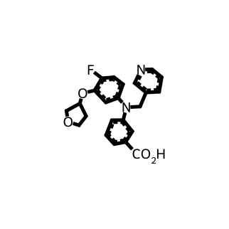 O=C(O)c1cccc(N(Cc2cccnc2)c2ccc(F)c(OC3CCOC3)c2)c1